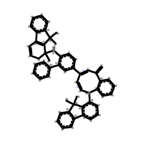 C=C1/C=C(c2ccc(NC3(C)CC=CC4=C3C(C)(C)c3ccccc34)c(-c3ccccc3)c2)\C=C/N(c2cccc3c2C(C)(C)c2ccccc2-3)c2ccccc21